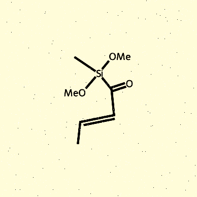 C/C=C/C(=O)[Si](C)(OC)OC